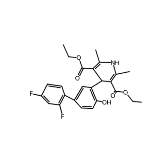 CCOC(=O)C1=C(C)NC(C)=C(C(=O)OCC)C1c1cc(-c2ccc(F)cc2F)ccc1O